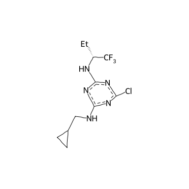 CC[C@@H](Nc1nc(Cl)nc(NCC2CC2)n1)C(F)(F)F